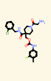 Cc1ccc(NC(=O)OCC2(C(=O)NCc3ccccc3Cl)CCN(C(=O)CN)CC2)cc1F